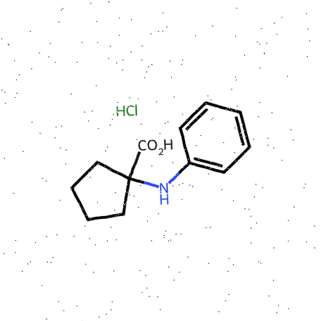 Cl.O=C(O)C1(Nc2ccccc2)CCCC1